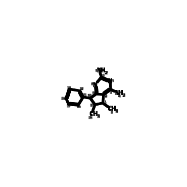 CC1c2c(N)nc(N)nc2C(c2ccccc2)C1C